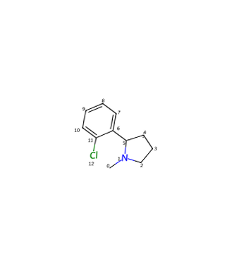 CN1CC[CH]C1c1ccccc1Cl